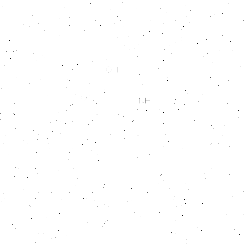 O=C(O)C1CC2(CCCCC2)CN1